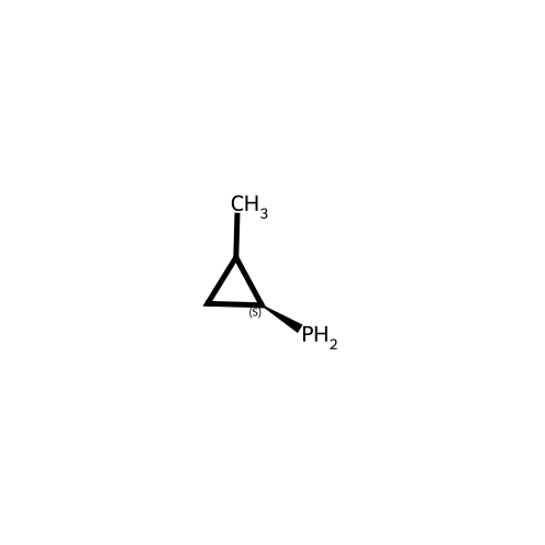 CC1C[C@@H]1P